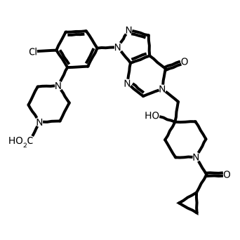 O=C(O)N1CCN(c2cc(-n3ncc4c(=O)n(CC5(O)CCN(C(=O)C6CC6)CC5)cnc43)ccc2Cl)CC1